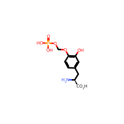 N[C@@H](Cc1ccc(OCOP(=O)(O)O)c(O)c1)C(=O)O